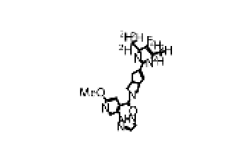 [2H]C([2H])([2H])c1nc(C2=CC3CN(C(=O)c4cc(OC)ncc4-n4nccn4)CC3C2)nc(C([2H])([2H])[2H])c1F